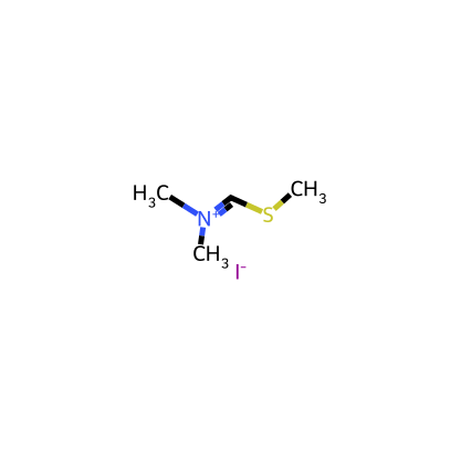 CSC=[N+](C)C.[I-]